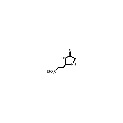 CCOC(=O)CCC1NCC(=O)N1